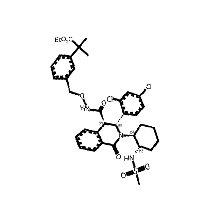 CCOC(=O)C(C)(C)c1cccc(CONC(=O)[C@@H]2c3ccccc3C(=O)N([C@H]3CCCC[C@@H]3NS(C)(=O)=O)[C@H]2c2ccc(Cl)cc2Cl)c1